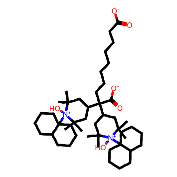 CC1(C)CC(C(CCCCCCCC(=O)[O-])(C(=O)[O-])C2CC(C)(C)[N+](O)(C34CCCCC3CCCC4)C(C)(C)C2)CC(C)(C)[N+]1(O)C12CCCCC1CCCC2